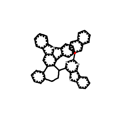 c1ccc2c(c1)CCC(c1nc(-c3ccc4ccccc4c3)nc3c1sc1ccccc13)c1c-2cc2c3ccccc3n3c4ccccc4c1c23